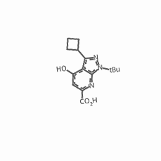 CC(C)(C)n1nc(C2CCC2)c2c(O)cc(C(=O)O)nc21